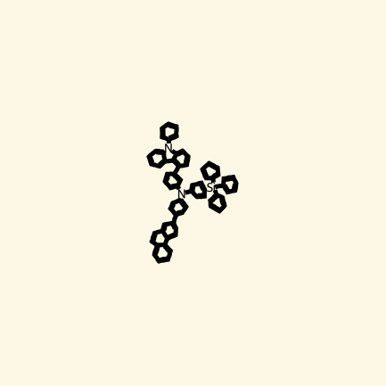 c1ccc(-n2c3ccccc3c3c(-c4cccc(N(c5ccc(-c6ccc7c(ccc8ccccc87)c6)cc5)c5ccc([Si](c6ccccc6)(c6ccccc6)c6ccccc6)cc5)c4)cccc32)cc1